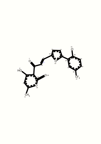 Cc1cc(O)c(C(=O)/C=C/c2ccc(-c3cc(C(F)(F)F)ccc3Cl)o2)c(=O)o1